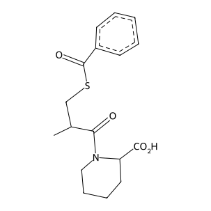 CC(CSC(=O)c1ccccc1)C(=O)N1CCCCC1C(=O)O